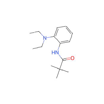 CCN(CC)c1ccccc1NC(=O)C(C)(C)C